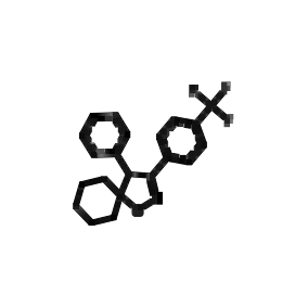 FC(F)(F)c1ccc(C2=NOC3(CCCCC3)C2c2ccccc2)cc1